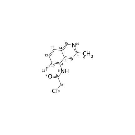 Cc1cc2c(NC(=O)CCl)c(F)ccc2cn1